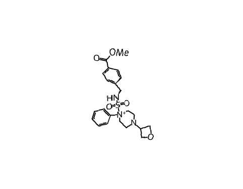 COC(=O)c1ccc(CNS(=O)(=O)[N+]2(c3ccccc3)CCN(C3COC3)CC2)cc1